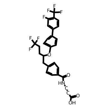 O=C(O)CCNC(=O)c1ccc(CC(CCC(F)(F)F)Oc2ccc(-c3ccc(C(F)(F)F)c(F)c3)cc2)cc1